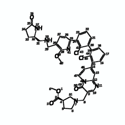 COC(=O)[C@@H]1CCN(Cc2cnc3cc(-c4cccc(-c5cccc(-c6ccc(CNC[C@H]7CCC(=O)N7)c(OC)n6)c5Cl)c4Cl)ccn3c2=O)C1